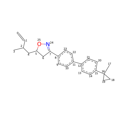 C=CC(C)CC1CC(c2ccc(-c3ccc(C4(C)CC4)cc3)cc2)=NO1